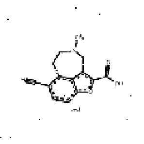 CN1CCc2c(C#N)ccc3oc(C(=O)O)c(c23)C1.Cl